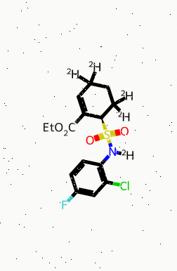 [2H]N(c1ccc(F)cc1Cl)S(=O)(=O)[C@H]1C(C(=O)OCC)=CC([2H])([2H])CC1([2H])[2H]